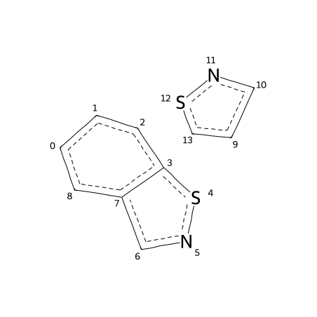 c1ccc2sncc2c1.c1cnsc1